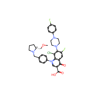 COC[C@H]1CCCN1Cc1ccc(-n2cc(C(=O)O)c(=O)c3cc(F)c(N4CCN(c5ccc(F)cc5)CC4)c(Cl)c32)cc1